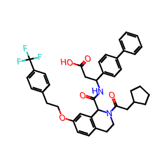 O=C(O)CC(NC(=O)C1c2cc(OCCc3ccc(C(F)(F)F)cc3)ccc2CCN1C(=O)CC1CCCC1)c1ccc(-c2ccccc2)cc1